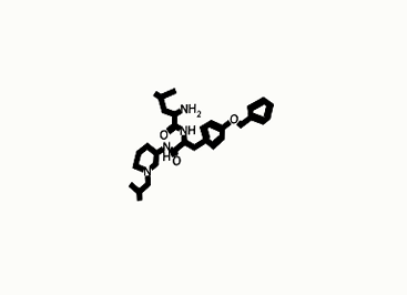 CC(C)CC(N)C(=O)NC(Cc1ccc(OCc2ccccc2)cc1)C(=O)NC1CCCN(CC(C)C)C1